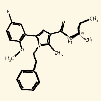 CC[C@H](C)NC(=O)c1cc(-c2cc(F)ccc2OC)n(CCc2ccccc2)c1C